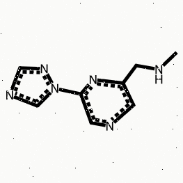 CNCc1cncc(-n2cncn2)n1